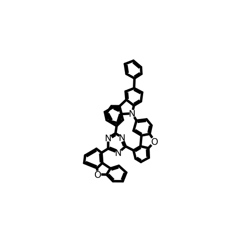 c1ccc(-c2ccc3c(c2)c2ccccc2n3-c2ccc3oc4cccc(-c5nc(-c6ccccc6)nc(-c6cccc7oc8ccccc8c67)n5)c4c3c2)cc1